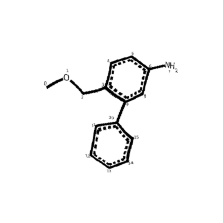 COCc1ccc(N)cc1-c1ccccc1